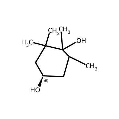 CC1C[C@@H](O)CC(C)(C)C1(C)O